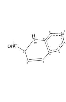 O=CC1C=Cc2ccncc2N1